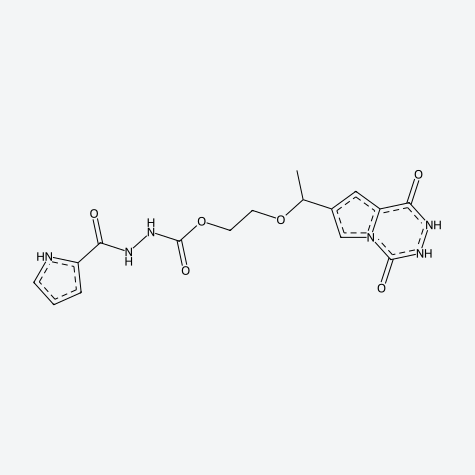 CC(OCCOC(=O)NNC(=O)c1ccc[nH]1)c1cc2c(=O)[nH][nH]c(=O)n2c1